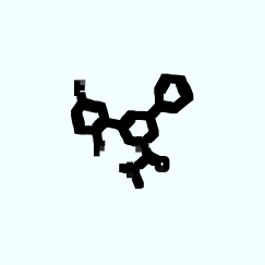 CN(C)C(=O)N1CC(c2cc(F)ccc2F)=CC(c2ccccc2)C1